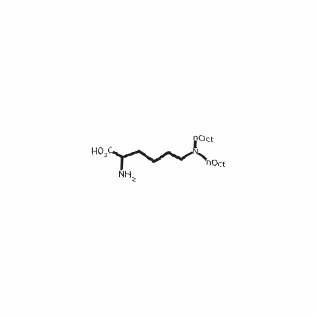 CCCCCCCCN(CCCCCCCC)CCCCC(N)C(=O)O